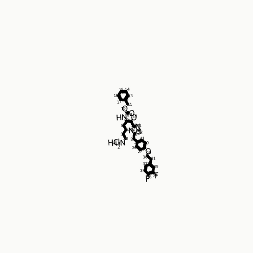 Cl.NCCCCC(NC(=O)OCc1ccccc1)C(=O)c1noc(Cc2ccc(OCCc3ccc(F)c(F)c3)cc2)n1